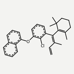 C=CC(C)=C(C1=C(C)CCCC1(C)C)c1cccc(Oc2cccc3ccccc23)c1Cl